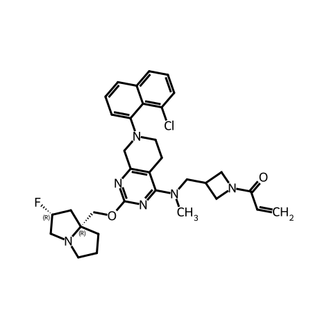 C=CC(=O)N1CC(CN(C)c2nc(OC[C@]34CCCN3C[C@H](F)C4)nc3c2CCN(c2cccc4cccc(Cl)c24)C3)C1